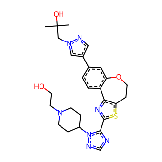 CC(C)(O)Cn1cc(-c2ccc3c(c2)OCCc2sc(-c4ncnn4C4CCN(CCO)CC4)nc2-3)cn1